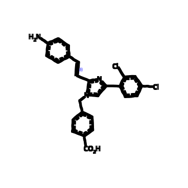 Nc1ccc(/C=C/c2nc(-c3ccc(Cl)cc3Cl)cn2Cc2ccc(C(=O)O)cc2)cc1